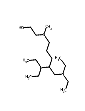 CCN(CC)CC(CCCN(C)CCO)N(CC)CC